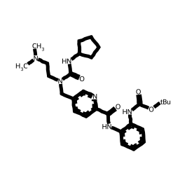 CN(C)CCN(Cc1ccc(C(=O)Nc2ccccc2NC(=O)OC(C)(C)C)nc1)C(=O)NC1CCCC1